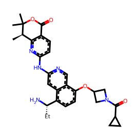 CC[C@H](N)c1ccc(OC2CN(C(=O)C3CC3)C2)c2cnc(Nc3ccc4c(n3)[C@@H](C)C(C)(C)OC4=O)cc12